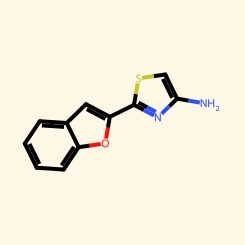 Nc1csc(-c2cc3ccccc3o2)n1